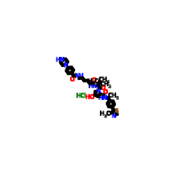 Cc1ncsc1-c1ccc([C@H](C)NC(=O)[C@@H]2C[C@@H](O)CN2C(=O)[C@@H](NC(=O)CCCCCNC(=O)c2ccc(N3CCNCC3)cc2)C(C)(C)C)cc1.Cl